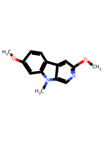 COc1ccc2c3cc(OC)ncc3n(C)c2c1